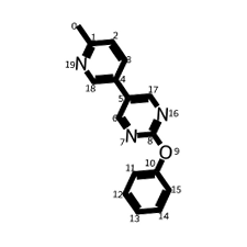 Cc1ccc(-c2cnc(Oc3ccccc3)nc2)cn1